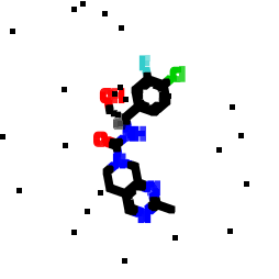 Cc1ncc2c(n1)CN(C(=O)N[C@H](CO)c1ccc(Cl)c(F)c1)CC2